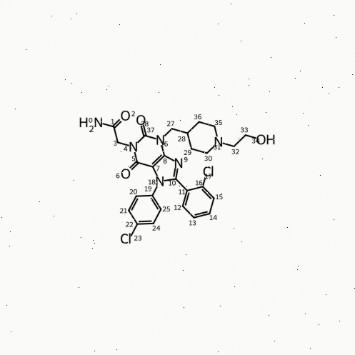 NC(=O)Cn1c(=O)c2c(nc(-c3ccccc3Cl)n2-c2ccc(Cl)cc2)n(CC2CCN(CCO)CC2)c1=O